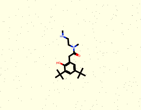 CNCCN(C)C(=O)Cc1cc(C(C)(C)C)cc(C(C)(C)C)c1O